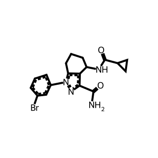 NC(=O)c1nn(-c2cccc(Br)c2)c2c1C(NC(=O)C1CC1)CCC2